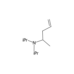 C=CCC(C)N(C(C)C)C(C)C